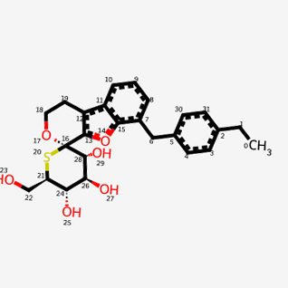 CCc1ccc(Cc2cccc3c4c(oc23)[C@]2(OCC4)S[C@H](CO)[C@@H](O)[C@H](O)[C@H]2O)cc1